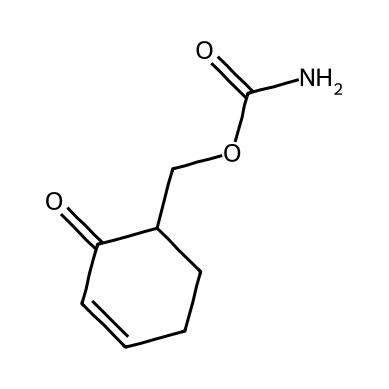 NC(=O)OCC1CCC=CC1=O